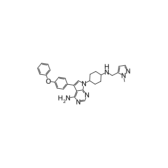 Cn1nccc1CNC1CCC(n2cc(-c3ccc(Oc4ccccc4)cc3)c3c(N)ncnc32)CC1